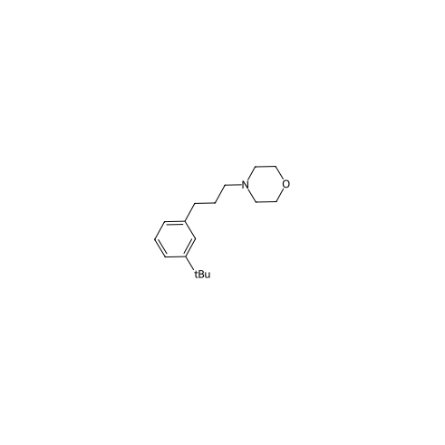 CC(C)(C)c1cccc(CCCN2CCOCC2)c1